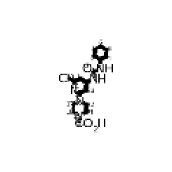 O=C(Nc1ccccc1)Nc1cc(Cl)nc(N2CCN(C(=O)O)CC2)c1